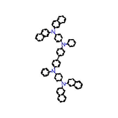 c1ccc(N(c2ccc(-c3ccc(N(c4ccccc4)c4ccc(N(c5ccc6ccccc6c5)c5ccc6ccccc6c5)cc4)cc3)cc2)c2ccc(N(c3ccc4ccccc4c3)c3ccc4ccccc4c3)cc2)cc1